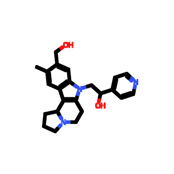 Cc1cc2c3c(n(CC(O)c4ccncc4)c2cc1CO)CCN1CCCC31